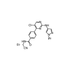 CC[C@@H](C#N)NC(=O)c1ccc(-c2nc(Nc3cnn(C(C)C)c3)ncc2Cl)cc1